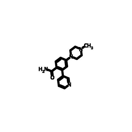 CN1CCN(c2ccc(C(N)=O)c(-c3cccnc3)c2)CC1